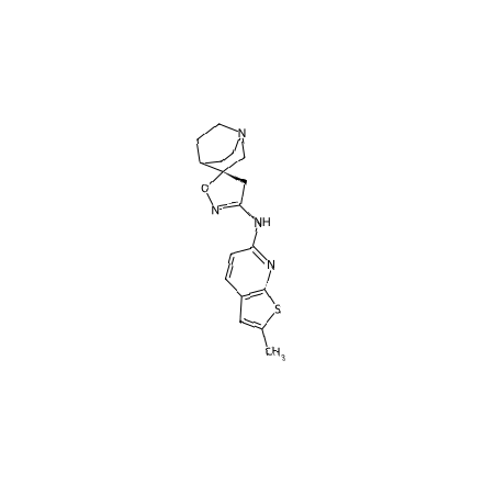 Cc1cc2ccc(NC3=NO[C@@]4(C3)CN3CCC4CC3)nc2s1